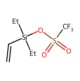 C=C[Si](CC)(CC)OS(=O)(=O)C(F)(F)F